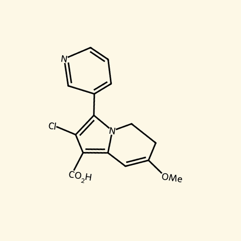 COC1=Cc2c(C(=O)O)c(Cl)c(-c3cccnc3)n2CC1